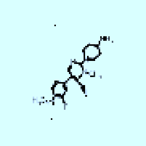 COc1ccc(C2=C(C#N)N(C)C(N3CCC(N)CC3)N=C2)cc1F